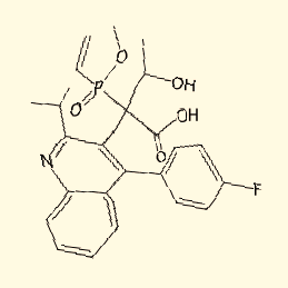 C=CP(=O)(OC)C(C(=O)O)(c1c(C(C)C)nc2ccccc2c1-c1ccc(F)cc1)C(C)O